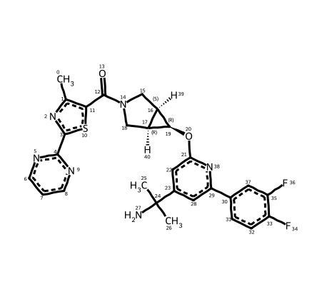 Cc1nc(-c2ncccn2)sc1C(=O)N1C[C@@H]2[C@H](C1)[C@@H]2Oc1cc(C(C)(C)N)cc(-c2ccc(F)c(F)c2)n1